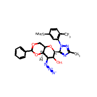 CSc1ccc(C(F)(F)F)c(-n2nc(C)nc2[C@@H]2OC3COC(c4ccccc4)O[C@@H]3C(N=[N+]=[N-])C2O)c1